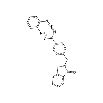 Nc1ccccc1N=[N+]=NC(=O)c1ccc(CN2Cc3ccccc3C2=O)cc1